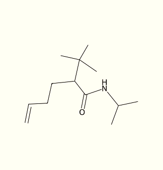 C=CCCC(C(=O)NC(C)C)C(C)(C)C